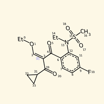 CCO/C=C(\C(=O)c1ccc(F)cc1N(CC)S(C)(=O)=O)C(=O)C1CC1